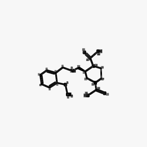 COc1ccccc1CNC[C@@H]1CN(C(=O)O)CCN1C(=O)O